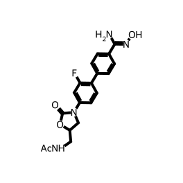 CC(=O)NCC1CN(c2ccc(-c3ccc(/C(N)=N/O)cc3)c(F)c2)C(=O)O1